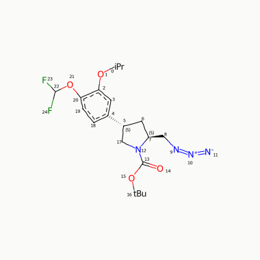 CC(C)Oc1cc([C@@H]2C[C@@H](CN=[N+]=[N-])N(C(=O)OC(C)(C)C)C2)ccc1OC(F)F